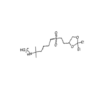 CCC1(CC)OCC(CCS(=O)(=O)CCCCC(C)(C)NC(=O)O)O1